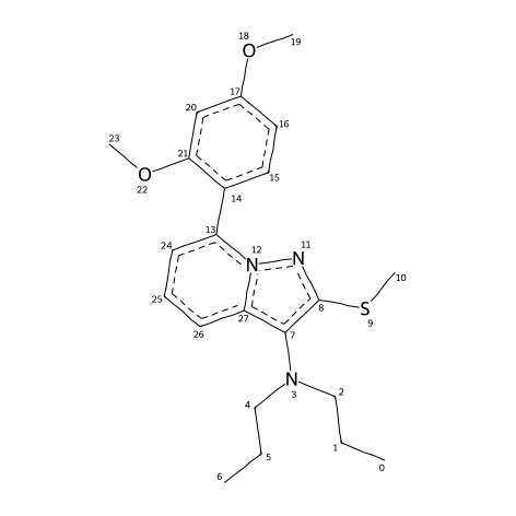 CCCN(CCC)c1c(SC)nn2c(-c3ccc(OC)cc3OC)cccc12